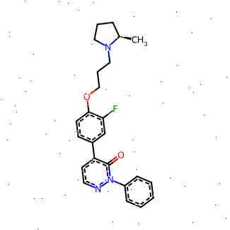 C[C@@H]1CCCN1CCCOc1ccc(-c2ccnn(-c3ccccc3)c2=O)cc1F